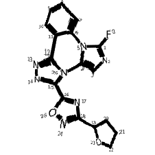 Fc1ncc2n1c1ccccc1c1nnc(-c3nc(C4CCCO4)no3)n12